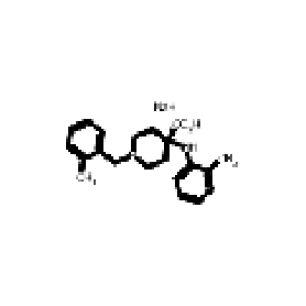 Cc1ccccc1CN1CCC(Nc2ccccc2C)(C(=O)O)CC1.[NaH]